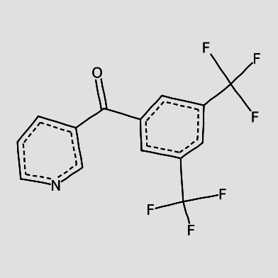 O=C(c1cccnc1)c1cc(C(F)(F)F)cc(C(F)(F)F)c1